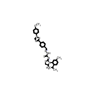 C=C(C)c1ccc(C)cc1N1C(=O)CS/C1=N\C(=S)N/N=C/c1ccc(-c2ncn(-c3ccc(OC(F)(F)F)cc3)n2)cc1